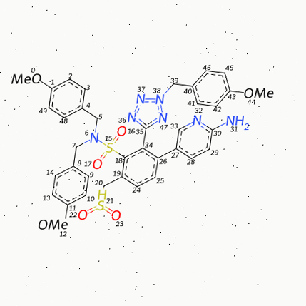 COc1ccc(CN(Cc2ccc(OC)cc2)S(=O)(=O)c2c(C[SH](=O)=O)ccc(-c3ccc(N)nc3)c2-c2nnn(Cc3ccc(OC)cc3)n2)cc1